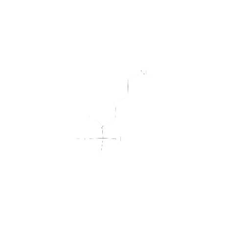 CC(C)(C)C(=O)COCCN